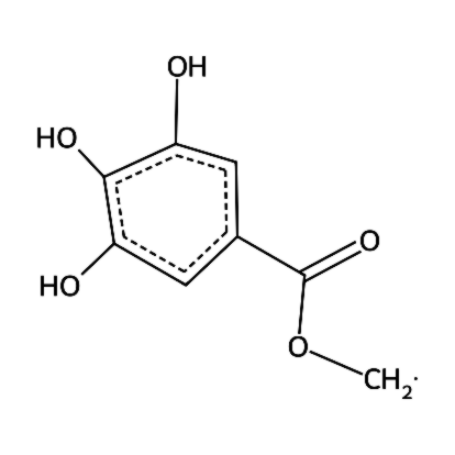 [CH2]OC(=O)c1cc(O)c(O)c(O)c1